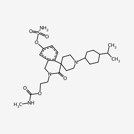 CNC(=O)OCCN1Cc2cc(OS(N)(=O)=O)ccc2C2(CCN(C3CCC(C(C)C)CC3)CC2)C1=O